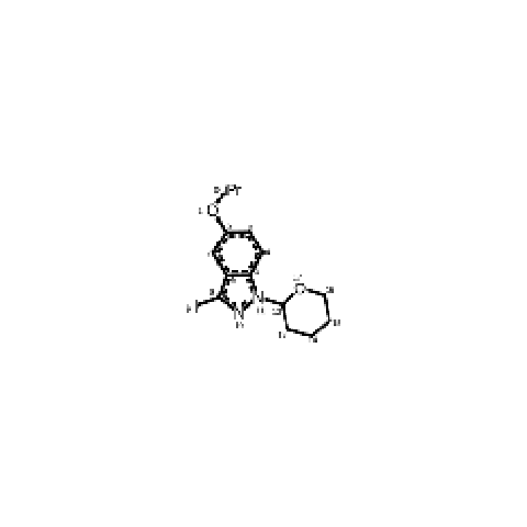 CC(C)Oc1ccc2c(c1)c(I)nn2C1CCCCO1